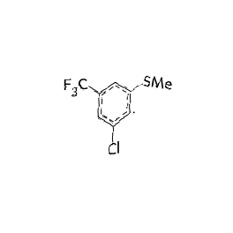 CSc1[c]c(Cl)cc(C(F)(F)F)c1